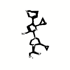 N#Cc1cc(-c2cccnc2)c(C2CC2)nc1N1CCN(C(=O)CC(F)(F)F)C(C2CC2)C1